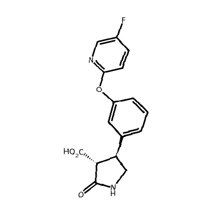 O=C(O)[C@H]1C(=O)NC[C@@H]1c1cccc(Oc2ccc(F)cn2)c1